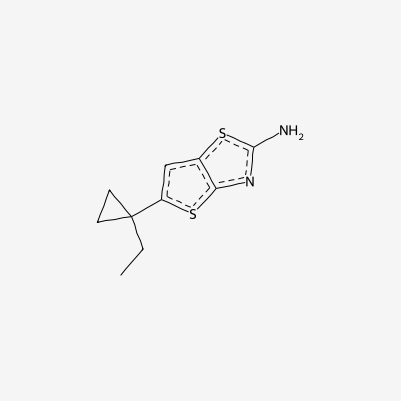 CCC1(c2cc3sc(N)nc3s2)CC1